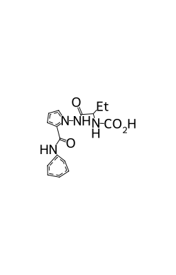 CCC(NC(=O)O)C(=O)Nn1cccc1C(=O)Nc1ccccc1